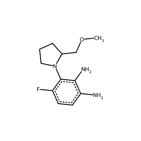 COCC1CCCN1c1c(F)ccc(N)c1N